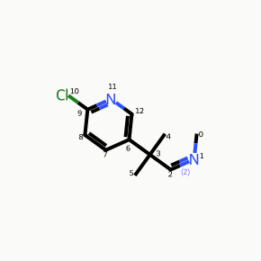 C/N=C\C(C)(C)c1ccc(Cl)nc1